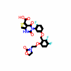 O=C(O)c1scc2[nH]c(=O)n(-c3cc(OCc4c(OCCN5CCOC5=O)ccc(F)c4F)ccc3F)c(=O)c12